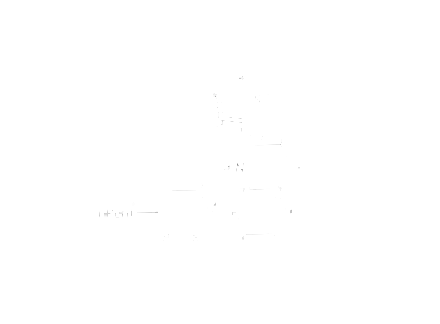 CCCCCC1CCC(C2CCC=C3C=CC(c4cccs4)=NC32)CC1